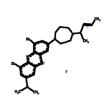 C/C=C/C(C)N1CCCN(c2cc(CC)c3nc4c(CC)cc(N(C)C)cc4[s+]c3c2)CC1.[I-]